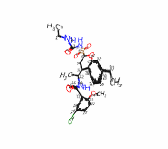 CCNC(=O)NS(=O)(=O)C1CC(C(C)NC(=O)c2cc(Cl)ccc2OC)c2ccc(CC)cc2O1